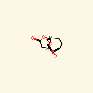 O=C1C[C@]23C=CCC[C@]2(COC3=O)O1